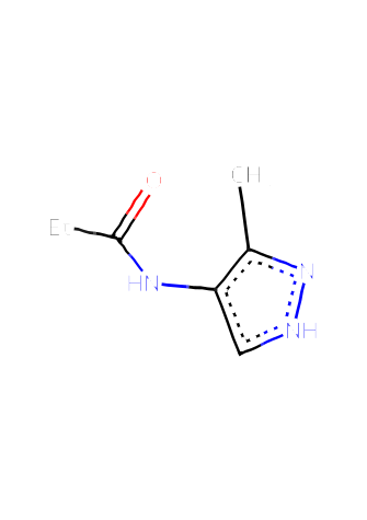 CCC(=O)Nc1c[nH]nc1C